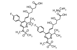 CC(C)c1nc(N(C)S(C)(=O)=O)nc(-c2ccc(F)cc2)c1C=C[C@@H](O)C[C@@H](O)CC(=O)O.CC(C)c1nc(N(C)S(C)(=O)=O)nc(-c2ccc(F)cc2)c1C=C[C@@H](O)C[C@@H](O)CC(=O)O.[CaH2].[MgH2]